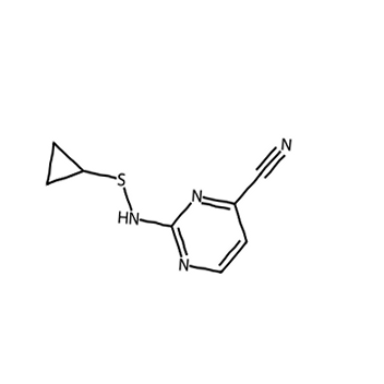 N#Cc1ccnc(NSC2CC2)n1